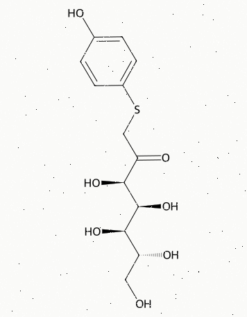 O=C(CSc1ccc(O)cc1)[C@H](O)[C@@H](O)[C@H](O)[C@H](O)CO